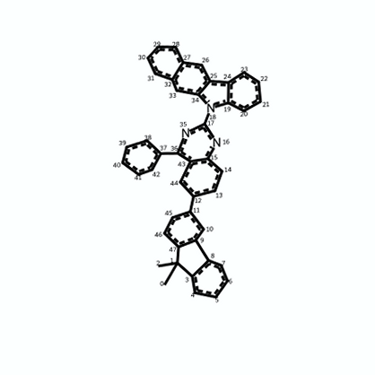 CC1(C)c2ccccc2-c2cc(-c3ccc4nc(-n5c6ccccc6c6cc7ccccc7cc65)nc(-c5ccccc5)c4c3)ccc21